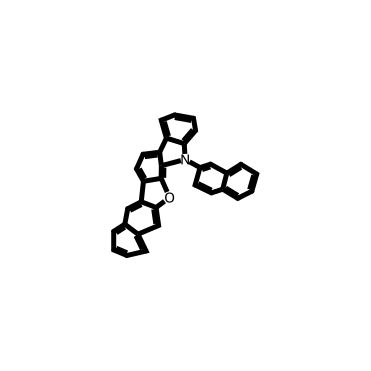 c1ccc2cc(-n3c4ccccc4c4ccc5c6cc7ccccc7cc6oc5c43)ccc2c1